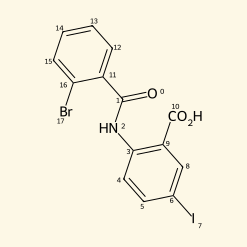 O=C(Nc1ccc(I)cc1C(=O)O)c1ccccc1Br